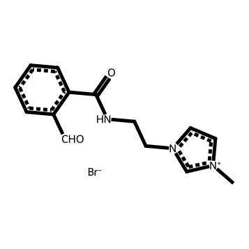 C[n+]1ccn(CCNC(=O)c2ccccc2C=O)c1.[Br-]